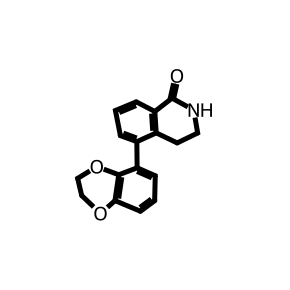 O=C1NCCc2c1cccc2-c1cccc2c1OCCO2